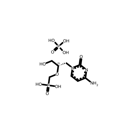 Nc1ccn(C[C@@H](CO)OCP(=O)(O)O)c(=O)n1.O=P(O)(O)O